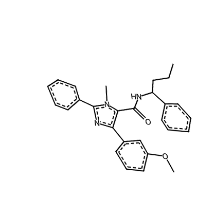 CCCC(NC(=O)c1c(-c2cccc(OC)c2)nc(-c2ccccc2)n1C)c1ccccc1